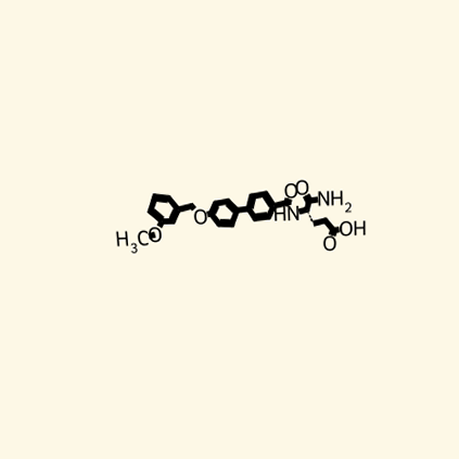 COc1cccc(COc2ccc(-c3ccc(C(=O)N[C@@H](CCC(=O)O)C(N)=O)cc3)cc2)c1